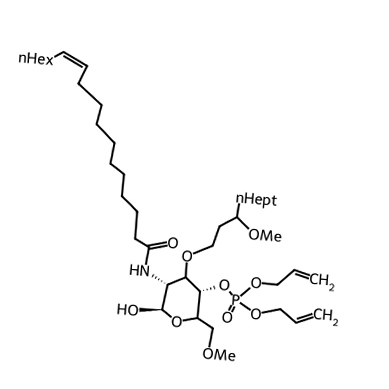 C=CCOP(=O)(OCC=C)O[C@@H]1C(COC)O[C@@H](O)[C@H](NC(=O)CCCCCCCCC/C=C\CCCCCC)C1OCCC(CCCCCCC)OC